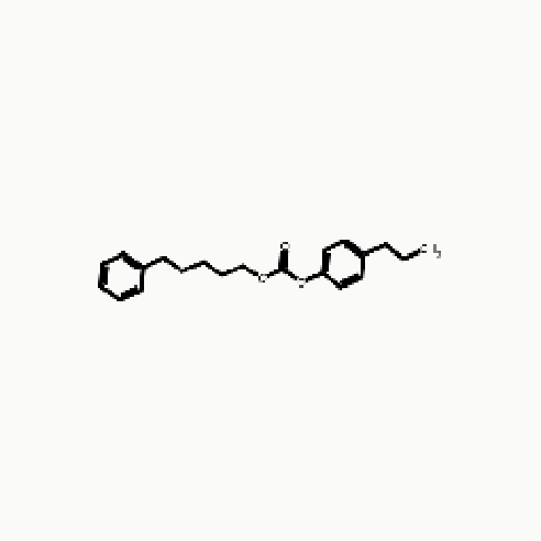 CCCc1ccc(OC(=O)OCCCCCc2ccccc2)cc1